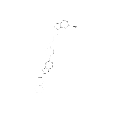 Cc1c(C(=O)NC2CCCCC2)oc2ccc(N3CCN(CCCCc4c[nH]c5ccc(C#N)cc45)CC3)cc12